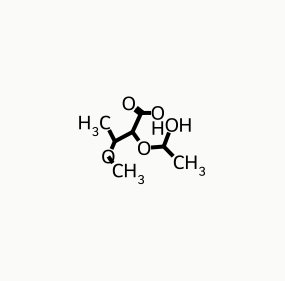 COC(C)C(OC(C)O)C(=O)O